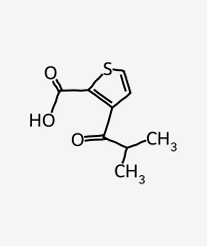 CC(C)C(=O)c1ccsc1C(=O)O